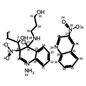 CCC(O)C1([N+](=O)[O-])C=Nc2ccccc2C1(Cl)NCCCO.N.O=[N+]([O-])c1cnc2ccccc2c1